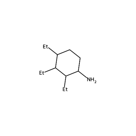 CCC1CCC(N)C(CC)C1CC